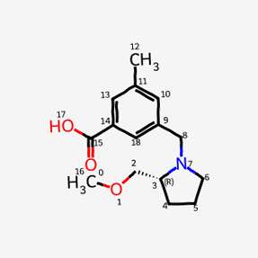 COC[C@H]1CCCN1Cc1cc(C)cc(C(=O)O)c1